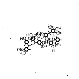 CC(C)(C)c1cc(C(C)(C)c2cc(C(C)(C)C)c(O)c(C(C)(C)C)c2)cc(C(C)(C)C)c1O.CCCC(c1cc(C)cc(C)c1O)c1cc(C)cc(C)c1O.Cc1cc(O)c(C(C)(C)C)cc1C(CCCC(c1cc(C(C)(C)C)c(O)cc1C)c1cc(C(C)(C)C)c(O)cc1C)c1cc(C(C)(C)C)c(O)cc1C